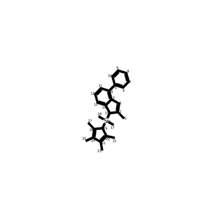 CC1=Cc2c(-c3ccccc3)cccc2C1[Si](C)(C)C1C(C)=C(C)C(C)=C1C